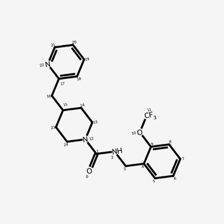 O=C(NCc1ccccc1OC(F)(F)F)N1CCC(Cc2ccccn2)CC1